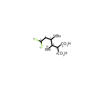 CC(C)(C)C(CC(F)F)C(C(C(=O)O)C(=O)O)C(C)(C)C